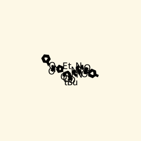 CC[C@H]1CN(C(=O)OCc2ccccc2)C[C@H]1C(=O)CN(C(=O)OC(C)(C)C)c1cnc2c(ncn2S(=O)(=O)c2ccc(C)cc2)n1